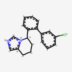 Clc1cccc(-c2ccccc2C2CCCc3cncn32)c1